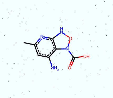 Cc1cc(N)c2c(n1)NON2C(=O)O